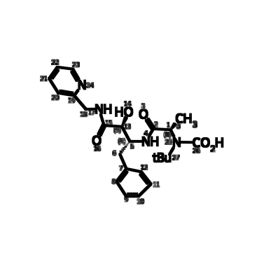 C[C@H](C(=O)N[C@H](Cc1ccccc1)[C@H](O)C(=O)NCc1ccccn1)N(C(=O)O)C(C)(C)C